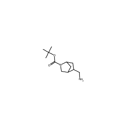 CC(C)(C)OC(=O)N1CC2CC1CC2CN